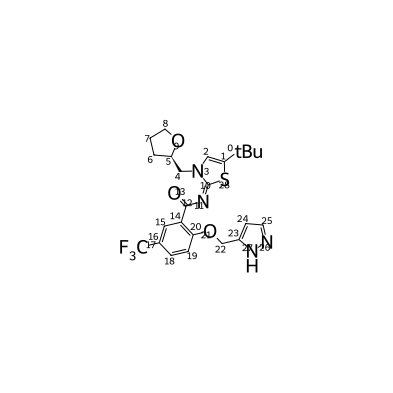 CC(C)(C)c1cn(C[C@H]2CCCO2)c(=NC(=O)c2cc(C(F)(F)F)ccc2OCc2ccn[nH]2)s1